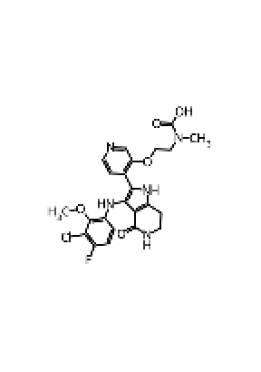 COc1c(Nc2c(-c3ccncc3OCCN(C)C(=O)O)[nH]c3c2C(=O)NCC3)ccc(F)c1Cl